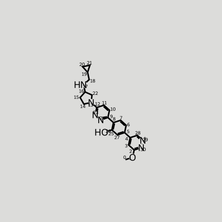 COc1cc(-c2ccc(-c3ccc(N4CCC(NCC5CC5)C4)nn3)c(O)c2)cnn1